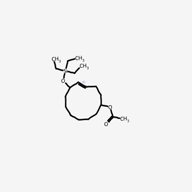 CC[Si](CC)(CC)OC1/C=C/CCC(OC(C)=O)CCCCCC1